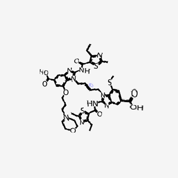 CCc1nc(C)sc1C(=O)Nc1nc2cc(C(=O)O)cc(OCCCN3CCOCC3)c2n1C/C=C/Cn1c(NC(=O)c2sc(C)nc2CC)nc2cc(C(=O)O)cc(SC)c21